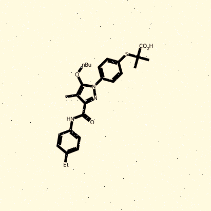 CCCCOc1c(C)c(C(=O)Nc2ccc(CC)cc2)nn1-c1ccc(SC(C)(C)C(=O)O)cc1